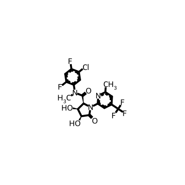 Cc1cc(C(F)(F)F)cc(N2C(=O)[C@@H](O)[C@@H](O)[C@H]2C(=O)N(C)c2cc(Cl)c(F)cc2F)n1